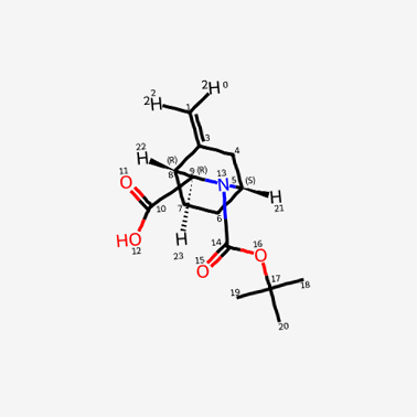 [2H]C([2H])=C1C[C@@H]2CC[C@H]1[C@H](C(=O)O)N2C(=O)OC(C)(C)C